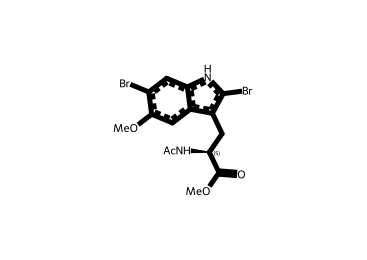 COC(=O)[C@H](Cc1c(Br)[nH]c2cc(Br)c(OC)cc12)NC(C)=O